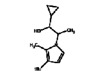 Cc1c(C(C)(C)C)ccn1C(C)C(O)C1CC1